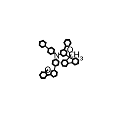 CC1(c2cc(N(c3ccc(-c4ccccc4)cc3)c3ccc(-c4cccc5c4oc4ccccc45)cc3)cc3c2oc2ccccc23)c2ccccc2-c2ccccc21